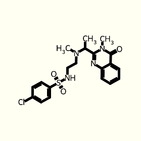 CC(c1nc2ccccc2c(=O)n1C)N(C)CCNS(=O)(=O)c1ccc(Cl)cc1